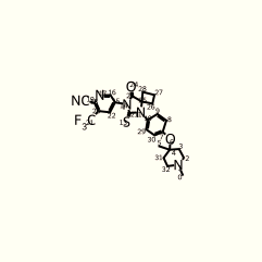 CN1CCC(C)(Oc2ccc(N3C(=S)N(c4cnc(C#N)c(C(F)(F)F)c4)C(=O)C34CCC4)cc2)CC1